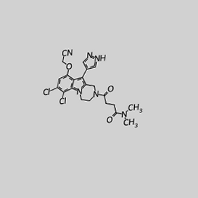 CN(C)C(=O)CCC(=O)N1CCn2c(c(-c3cn[nH]c3)c3c(OCC#N)cc(Cl)c(Cl)c32)C1